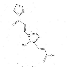 Cn1c(/C=C/C(=O)O)ccc1/C=C/C(=O)c1cccs1